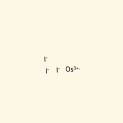 [I-].[I-].[I-].[Os+3]